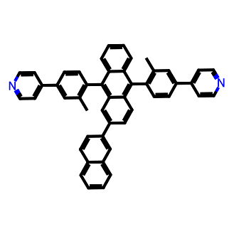 Cc1cc(-c2ccncc2)ccc1-c1c2ccccc2c(-c2ccc(-c3ccncc3)cc2C)c2cc(-c3ccc4ccccc4c3)ccc12